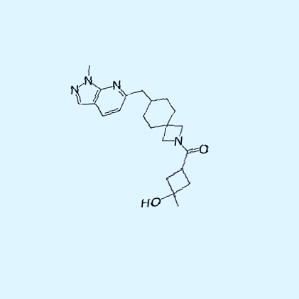 Cn1ncc2ccc(CC3CCC4(CC3)CN(C(=O)C3CC(C)(O)C3)C4)nc21